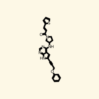 O=C(C=Cc1cccs1)N1CCC(Nc2ncnc3[nH]c(C#CCOc4ccccc4)cc23)C1